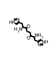 N[C@@H](Cc1c[nH]cn1)C(=O)CCC(=O)[C@@H](N)Cc1c[nH]cn1